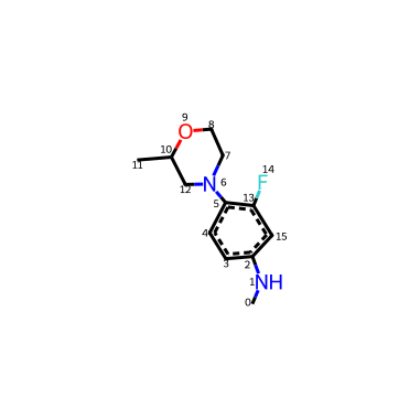 CNc1ccc(N2CCOC(C)C2)c(F)c1